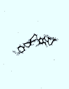 O=C1CCC(N2C(=O)c3cc(F)c(N4CCCC5(CCN(C6CCN(C(=O)O)CC6)CC5)C4)cc3C2=O)C(=O)N1